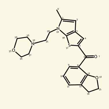 Cc1cc2cc(C(=O)c3cccc4c3OCC4)sc2n1CCN1CCOCC1